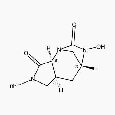 CCCN1C[C@@H]2C[C@@H]3CN(C(=O)N3O)[C@@H]2C1=O